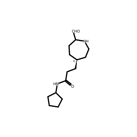 O=CC1CC[C@H](CCC(=O)NC2CCCC2)CCN1